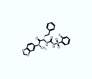 CN(C(=O)[C@H](CCc1ccccc1)NC(=O)NS(=O)(=O)c1ccccc1F)c1ccc2c(c1)OCO2